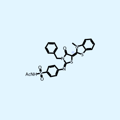 CC(=O)NS(=O)(=O)c1ccc(N=C2S/C(=C3\Sc4ccccc4N3C)C(=O)N2Cc2ccccc2)cc1